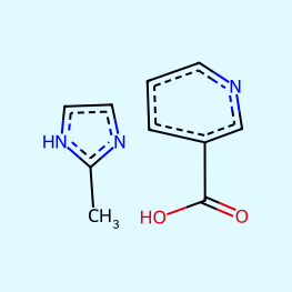 Cc1ncc[nH]1.O=C(O)c1cccnc1